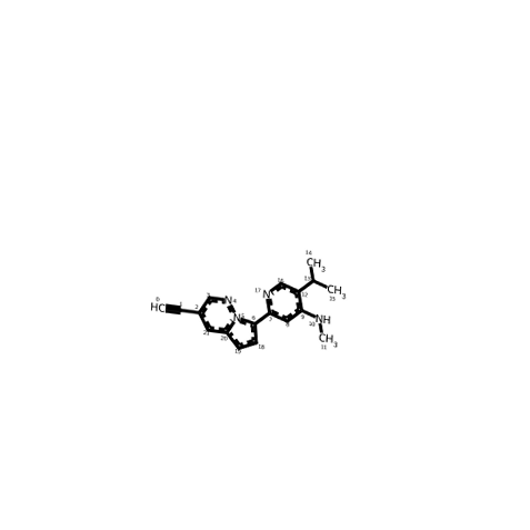 C#Cc1cnn2c(-c3cc(NC)c(C(C)C)cn3)ccc2c1